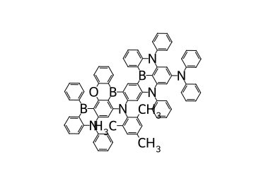 Cc1cc(C)c(N2c3cc4c(cc3B3c5ccccc5Oc5c6c(cc2c53)N(c2ccccc2)c2ccccc2B6c2ccccc2)B2c3ccccc3N(c3ccccc3)c3cc(N(c5ccccc5)c5ccccc5)cc(c32)N4c2ccccc2)c(C)c1